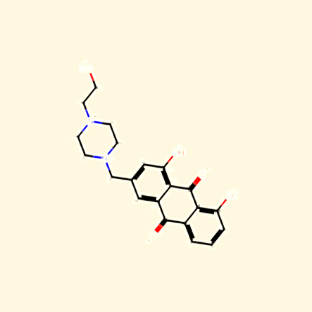 O=C1c2cccc(O)c2C(=O)c2c(O)cc(CN3CCN(CCO)CC3)cc21